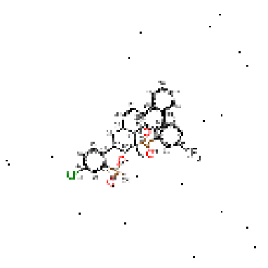 CC1(S(=O)(=O)c2cccc(C(F)(F)F)c2)CC(c2ccc(Cl)cc2S(C)(=O)=O)CC2C=Cc3c(ccc4ccccc34)C21